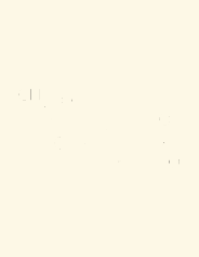 C=CC(=O)OC1CC2CC1C1COC(=O)C21